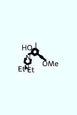 CCN(CC)C1CCN(Cc2cc(C#CCOC)cc(I)c2O)CC1